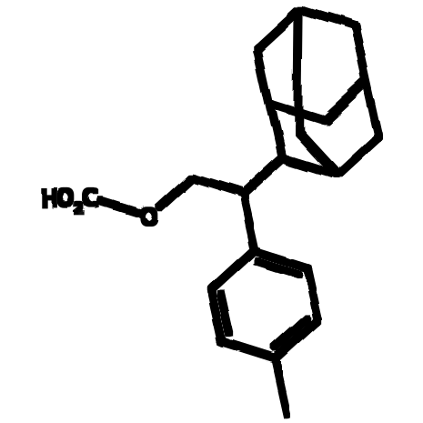 Cc1ccc(C(COC(=O)O)C2C3CC4CC(C3)CC2C4)cc1